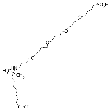 CCCCCCCCCCCCCCCCCC(C)(C)NCCCCOCCCCOCCCCOCCCCOCCCCS(=O)(=O)O